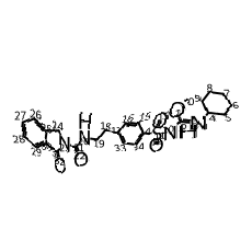 COC(=NC1CCCCC1)NS(=O)(=O)c1ccc(CCNC(=O)N2Cc3ccccc3C2=O)cc1